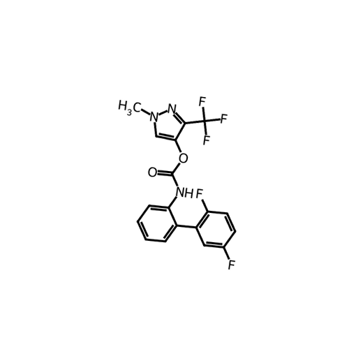 Cn1cc(OC(=O)Nc2ccccc2-c2cc(F)ccc2F)c(C(F)(F)F)n1